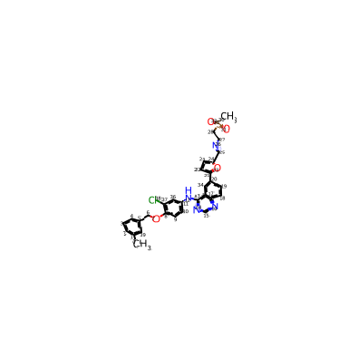 Cc1cccc(COc2ccc(Nc3ncnc4ccc(-c5ccc(/C=N/CCS(C)(=O)=O)o5)cc34)cc2Cl)c1